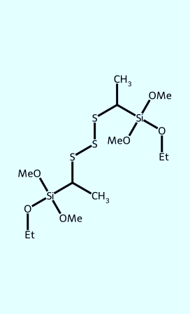 CCO[Si](OC)(OC)C(C)SSSC(C)[Si](OC)(OC)OCC